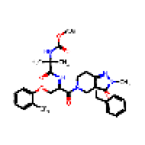 CN1N=C2CCN(C(=O)C(COc3ccccc3C(F)(F)F)NC(=O)C(C)(C)NC(=O)OC(C)(C)C)C[C@@]2(Cc2ccccc2)C1=O